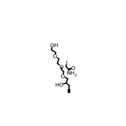 C#CCC(O)COCCOCCOCCO.NC(=O)CI